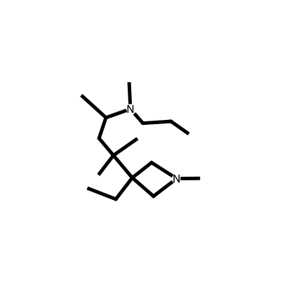 CCCN(C)C(C)CC(C)(C)C1(CC)CN(C)C1